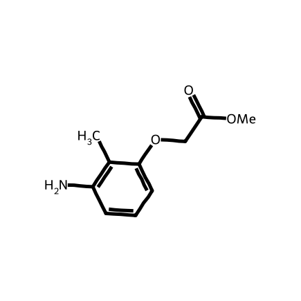 COC(=O)COc1cccc(N)c1C